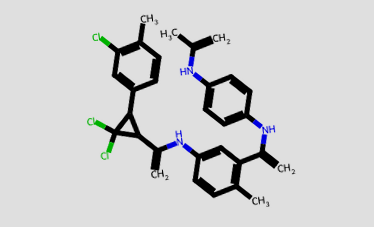 C=C(C)Nc1ccc(NC(=C)c2cc(NC(=C)C3C(c4ccc(C)c(Cl)c4)C3(Cl)Cl)ccc2C)cc1